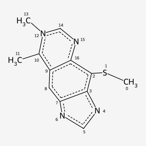 CSc1c2ncnc2cc2c(C)n(C)cnc12